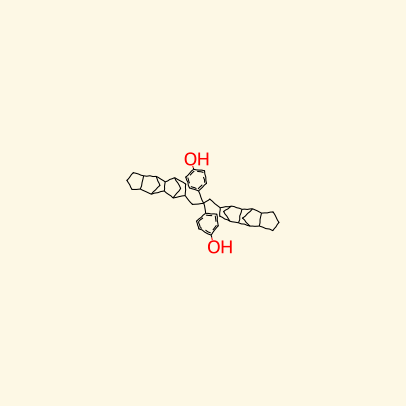 Oc1ccc(C(CC2CC3CC2C2C4CC(C5CCCC54)C32)(CC2CC3CC2C2C4CC(C5CCCC54)C32)c2ccc(O)cc2)cc1